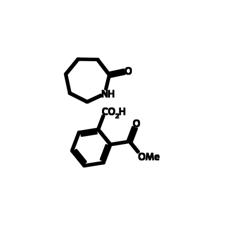 COC(=O)c1ccccc1C(=O)O.O=C1CCCCCN1